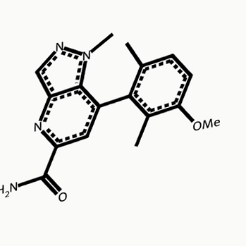 COc1ccc(C)c(-c2cc(C(N)=O)nc3cnn(C)c23)c1C